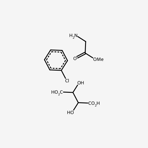 COC(=O)CN.Clc1ccccc1.O=C(O)C(O)C(O)C(=O)O